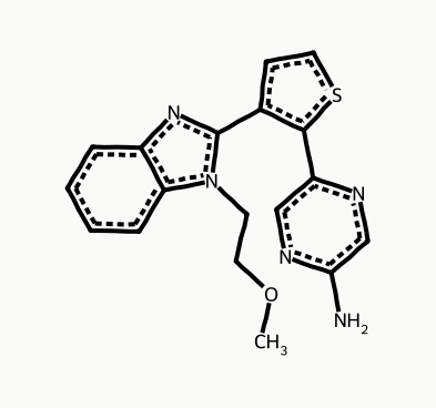 COCCn1c(-c2ccsc2-c2cnc(N)cn2)nc2ccccc21